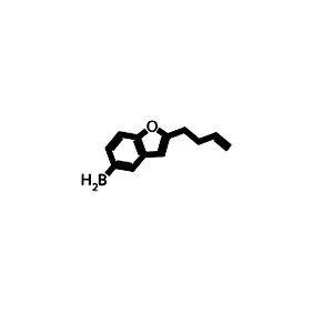 Bc1ccc2oc(CCC=C)cc2c1